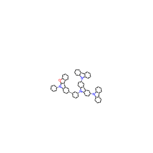 c1ccc(-n2c3ccc(-c4cccc(-n5c6ccc(-n7c8ccccc8c8ccccc87)cc6c6cc(-n7c8ccccc8c8ccccc87)ccc65)c4)cc3c3c4ccccc4oc32)cc1